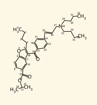 CCCCc1oc2ccc(C(=O)OC(C)C)cc2c1C(=O)c1ccc(/C=C/CN(CCCC)CCCC)cc1